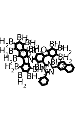 Bc1c(B)c(B)c2c(oc3c(B)c(-n4c5c(B)c(B)c(B)c(B)c5c5c(B)c6c(B)c(B)c(B)c(B)c6c(B)c54)c(B)c(-c4nc(-c5ccccc5)nc(-c5ccc6ccccc6c5)n4)c32)c1B